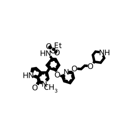 CCS(=O)(=O)Nc1ccc(Oc2cccc(OCCOC3CCNCC3)n2)c(-c2cn(C)c(=O)c3[nH]ccc23)c1